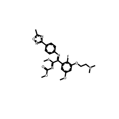 COC(=O)N=C(SC)C(=Nc1ccc(-c2noc(C)n2)cc1)c1cc(OC)cc(OCCN(C)C)c1F